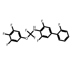 Fc1ccccc1-c1cc(F)c(NC(F)(F)Oc2cc(F)c(F)c(F)c2)c(F)c1